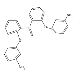 Nc1cccc(Oc2ccccc2[P](=O)c2ccccc2Oc2cccc(N)c2)c1